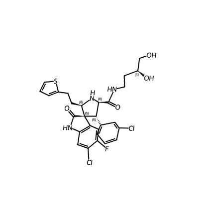 O=C(NCC[C@H](O)CO)[C@@H]1N[C@H](CCc2cccs2)[C@]2(C(=O)Nc3cc(Cl)c(F)cc32)[C@H]1c1cccc(Cl)c1